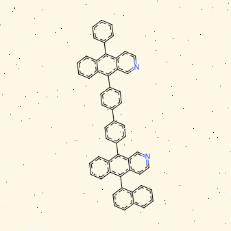 c1ccc(-c2c3ccccc3c(-c3ccc(-c4ccc(-c5c6ccccc6c(-c6cccc7ccccc67)c6ccncc56)cc4)cc3)c3cnccc23)cc1